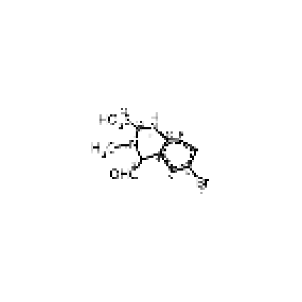 CN1C(C=O)c2cc(Br)ccc2NC1S(=O)(=O)O